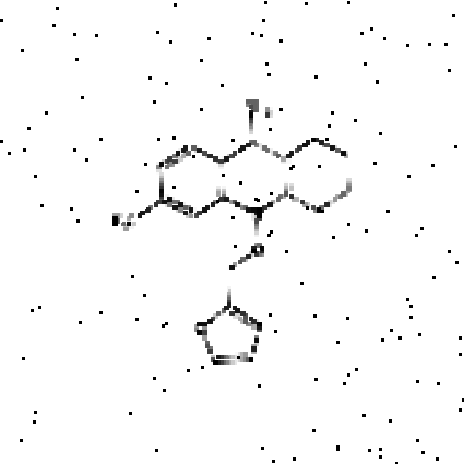 NC1C2=C(CCCC2)N(OCc2ccco2)c2cc(C(F)(F)F)ccc21